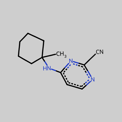 CC1(Nc2ccnc(C#N)n2)CCCCC1